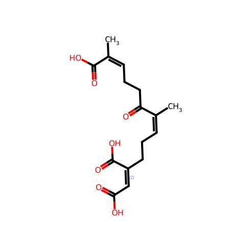 CC(=CCCC(=O)C(C)=CCC/C(=C/C(=O)O)C(=O)O)C(=O)O